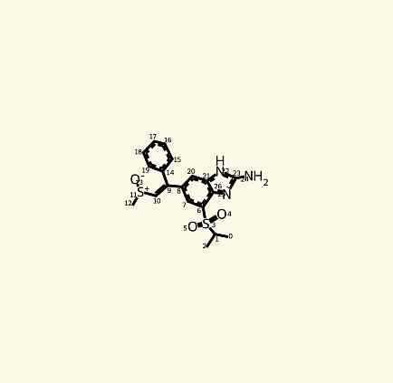 CC(C)S(=O)(=O)c1cc(C(=C[S+](C)[O-])c2ccccc2)cc2[nH]c(N)nc12